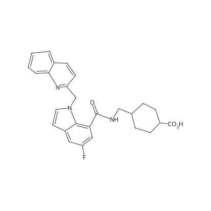 O=C(NCC1CCC(C(=O)O)CC1)c1cc(F)cc2ccn(Cc3ccc4ccccc4n3)c12